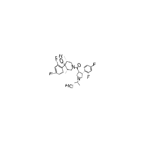 CC(C)N1C[C@@H](C(=O)N2C[C@@H](C)[C@@](O)(c3ccc(F)cc3F)[C@@H](C)C2)[C@H](c2ccc(F)cc2F)C1.Cl